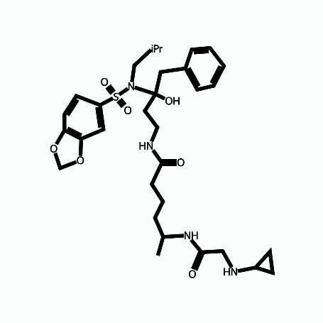 CC(C)CN(C(O)(CCNC(=O)CCCC(C)NC(=O)CNC1CC1)Cc1ccccc1)S(=O)(=O)c1ccc2c(c1)OCO2